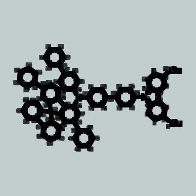 CC(C)(C)c1ccc2c(c1)c1cc(C(C)(C)C)ccc1n2-c1ccc(-c2ccc(N(c3ccc(-c4ccccc4)cc3)c3cc(-c4ccccc4)cc4c3-c3ccc(-c5ccccc5)cc3C43c4ccccc4-c4ccccc43)cc2)cc1